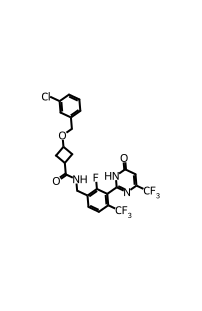 O=C(NCc1ccc(C(F)(F)F)c(-c2nc(C(F)(F)F)cc(=O)[nH]2)c1F)C1CC(OCc2cccc(Cl)c2)C1